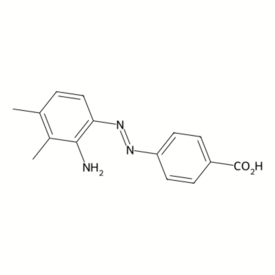 Cc1ccc(N=Nc2ccc(C(=O)O)cc2)c(N)c1C